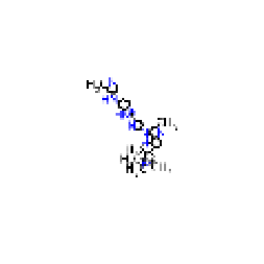 CC1=C(c2ccc3nc(C)cc(Nc4ccc(-c5nc6ccc(Nc7ccnc(C)c7)cc6[nH]5)nc4)c3c2)C[C@H](C)N(C)[C@@H]1C